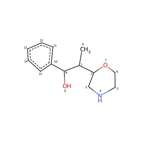 CC(C1CNCCO1)C(O)c1ccccc1